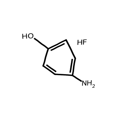 F.Nc1ccc(O)cc1